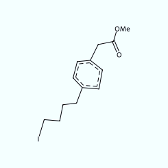 COC(=O)Cc1ccc(CCCCI)cc1